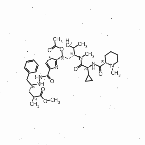 COC(=O)[C@@H](C)C[C@H](Cc1ccccc1)NNC(=O)c1csc([C@@H](C[C@H](C(C)C)N(C)C(=O)[C@@H](NC(=O)[C@H]2CCCCN2C)C2CC2)OC(C)=O)n1